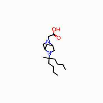 CCCCC(C)(CCCC)N1CC2CC1CN2CC(=O)O